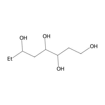 CCC(O)CC(O)C(O)CCO